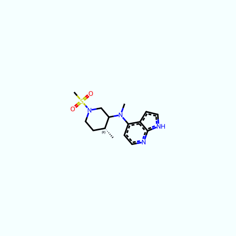 C[C@@H]1CCN(S(C)(=O)=O)CC1N(C)c1ccnc2[nH]ccc12